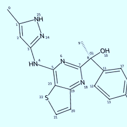 Cc1cc(Nc2nc([C@@](C)(O)c3ccc(F)cc3)nc3ccsc23)n[nH]1